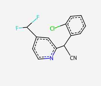 N#CC(c1cc(C(F)F)ccn1)c1ccccc1Cl